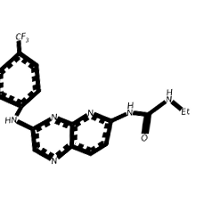 CCNC(=O)Nc1ccc2ncc(Nc3ccc(C(F)(F)F)cc3)nc2n1